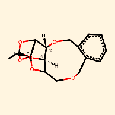 CC12OC3[C@H](OC4COCc5ccccc5CO[C@@H]3[C@@H]4O1)O2